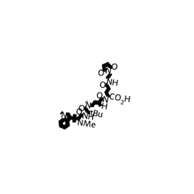 CN[C@H](C(=O)NC(C(=O)N(C)C/C=C(\C)C(=O)N[C@H](CCC(=O)NCCN1C(=O)C=CC1=O)C(=O)O)C(C)(C)C)C(C)(C)c1cn(C)c2ccccc12